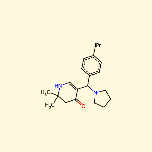 CC(C)c1ccc(C(C2=CNC(C)(C)CC2=O)N2CCCC2)cc1